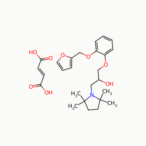 CC1(C)CCC(C)(C)N1CC(O)COc1ccccc1OCc1ccco1.O=C(O)C=CC(=O)O